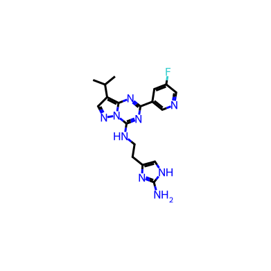 CC(C)c1cnn2c(NCCc3c[nH]c(N)n3)nc(-c3cncc(F)c3)nc12